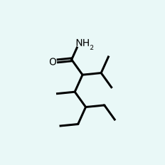 CCC(CC)C(C)C(C(N)=O)C(C)C